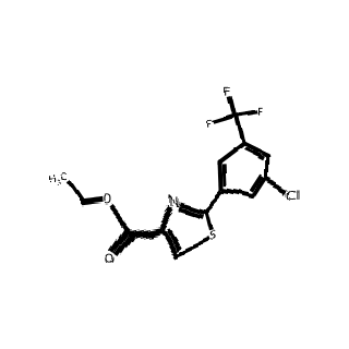 CCOC(=O)c1csc(-c2cc(Cl)cc(C(F)(F)F)c2)n1